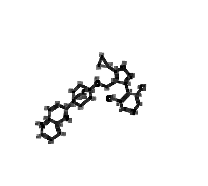 Clc1cncc(Cl)c1-c1noc(C2CC2)c1COC12CCC(c3ccc4ncccc4n3)(CC1)CC2